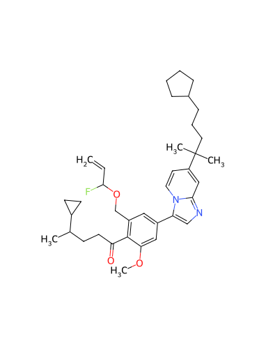 C=CC(F)OCc1cc(-c2cnc3cc(C(C)(C)CCCC4CCCC4)ccn23)cc(OC)c1C(=O)CCC(C)C1CC1